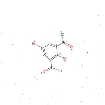 O=C(Cl)c1cc(Br)cc(C(=O)Cl)c1Br